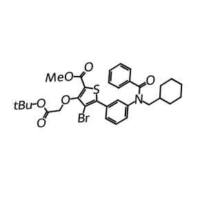 COC(=O)c1sc(-c2cccc(N(CC3CCCCC3)C(=O)c3ccccc3)c2)c(Br)c1OCC(=O)OC(C)(C)C